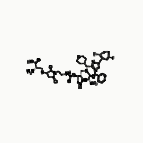 C[C@H](O)C(=O)N(C[C@@H]1CNC[C@H]1OC(=O)NCCN1C(=O)CC(SC[C@H](N)C(=O)O)C1=O)[C@@H](c1nc(-c2cc(F)ccc2F)cn1Cc1ccccc1)C1CCOCC1